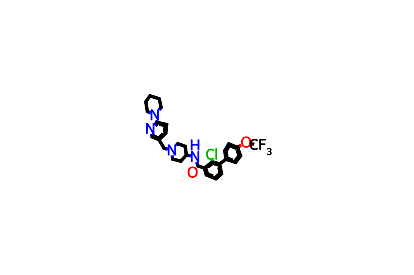 O=C(NC1CCN(Cc2ccc(N3CCCCC3)nc2)CC1)c1cccc(-c2ccc(OC(F)(F)F)cc2)c1Cl